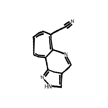 N#Cc1cccc2c1ncc1c[nH]nc12